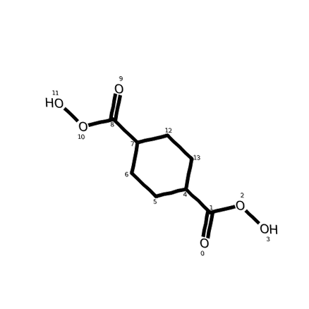 O=C(OO)C1CCC(C(=O)OO)CC1